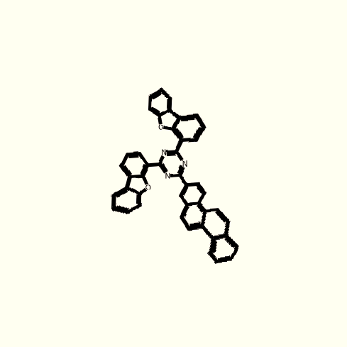 c1ccc2c(c1)ccc1c3ccc(-c4nc(-c5cccc6c5oc5ccccc56)nc(-c5cccc6c5oc5ccccc56)n4)cc3ccc21